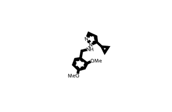 COc1ccc(CNn2nccc2C2CC2)c(OC)c1